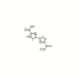 NC(=O)c1ccc(-c2c[nH]c(C(=O)O)n2)o1